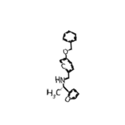 C[C@H](NCc1ccc(OCc2ccccc2)cc1)c1ccco1